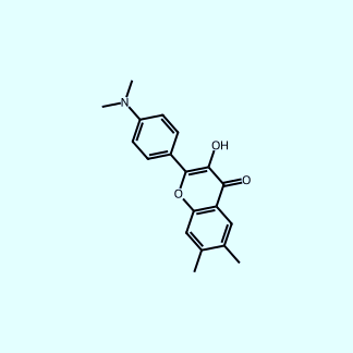 Cc1cc2oc(-c3ccc(N(C)C)cc3)c(O)c(=O)c2cc1C